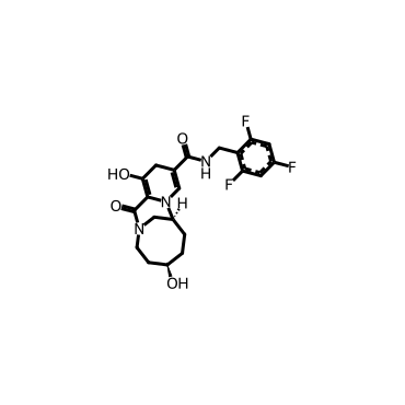 O=C(NCc1c(F)cc(F)cc1F)C1=CN2C(=C(O)C1)C(=O)N1CC[C@H](O)CC[C@H]2C1